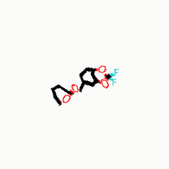 FC1(F)Oc2ccc(COC3CCCCO3)cc2O1